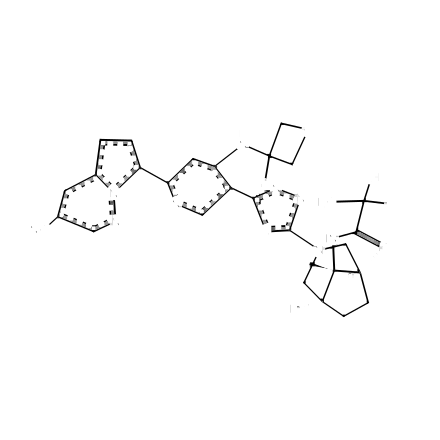 CC1(Nc2cc(-c3ccc4cc(C#N)cnn34)ncc2-c2nnc(N3C[C@H]4CC[C@@H](C3)[C@@H]4NC(=O)C(C)(C)O)s2)COC1